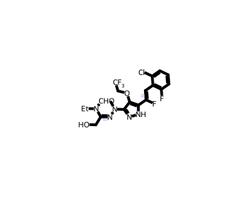 CCN(C=O)/C(CO)=N\N(C)c1n[nH]c(/C(F)=C/c2c(F)cccc2Cl)c1OCC(F)(F)F